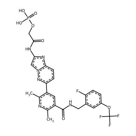 Cc1nc(C)c(-c2ccc3nc(NC(=O)COP(=O)(O)O)cn3n2)cc1C(=O)NCc1cc(OC(F)(F)F)ccc1F